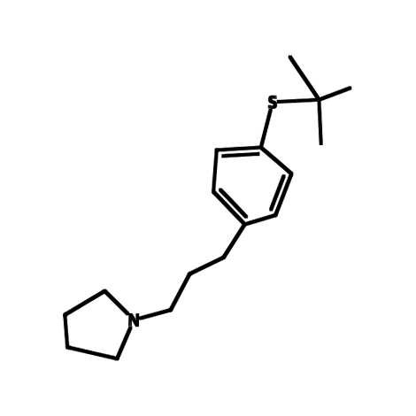 CC(C)(C)Sc1ccc(CCCN2CCCC2)cc1